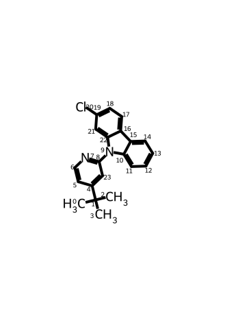 CC(C)(C)c1ccnc(-n2c3ccccc3c3ccc(Cl)cc32)c1